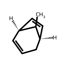 CC1[C@H]2C=CC[C@@H]1C=C2